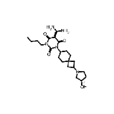 CCCCN1C(=O)C(=C(N)N)C(=O)N(C2CCC3(CC2)CC(N2CC[C@@H](O)C2)C3)C1=O